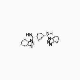 N=C(c1ccc(C(=N)n2nnc3ccccc32)cc1)n1nnc2ccccc21